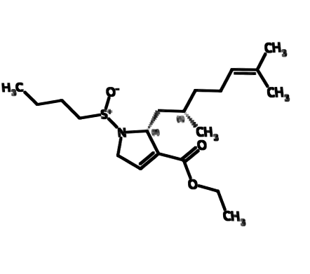 CCCC[S+]([O-])N1CC=C(C(=O)OCC)[C@H]1C[C@@H](C)CCC=C(C)C